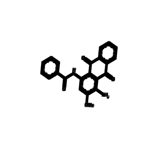 COc1cc(NC(=O)c2ccccc2)c2c(c1N)C(=O)c1ccccc1C2=O